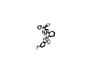 O=C(NC1CCCCC1n1cc(C(=O)N2CCCC2)nn1)c1ccc(F)cc1